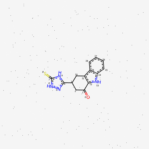 O=C1CC(c2n[nH]c(=S)[nH]2)Cc2c1[nH]c1ccccc21